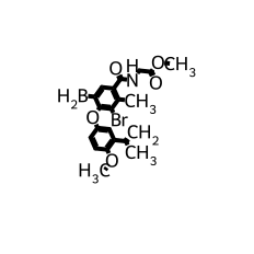 Bc1cc(C(=O)NCC(=O)OC)c(C)c(Br)c1Oc1ccc(OC)c(C(=C)C)c1